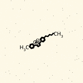 CCCCCCc1ccc(C2=CC=C(c3ccc(C)cc3)S2(=O)=O)cc1